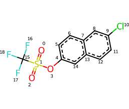 O=S(=O)(Oc1ccc2cc(Cl)ccc2c1)C(F)(F)F